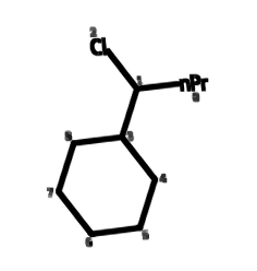 CCCC(Cl)C1CCCCC1